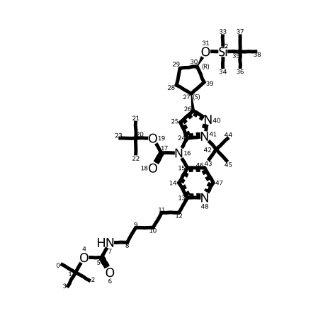 CC(C)(C)OC(=O)NCCCCCc1cc(N(C(=O)OC(C)(C)C)c2cc([C@H]3CC[C@@H](O[Si](C)(C)C(C)(C)C)C3)nn2C(C)(C)C)ccn1